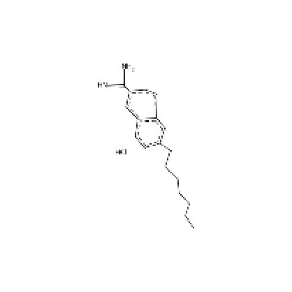 CCCCCCCc1ccc2cc(C(=N)N)ccc2c1.Cl